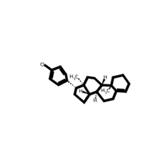 C[C@]12CC[C@H]3[C@@H](CCC4=CCCC[C@@]43C)[C@@H]1CC[C@@H]2c1ccc(Cl)cc1